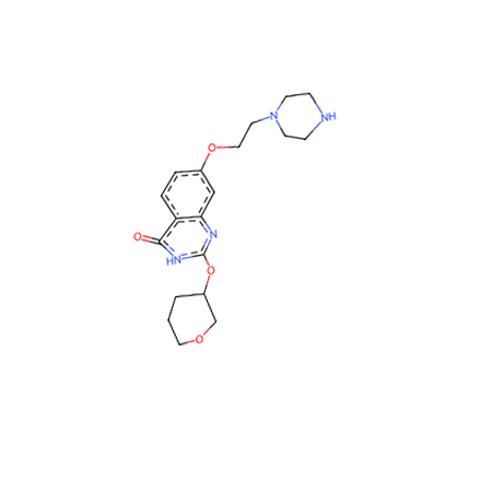 O=c1[nH]c(OC2CCCOC2)nc2cc(OCCN3CCNCC3)ccc12